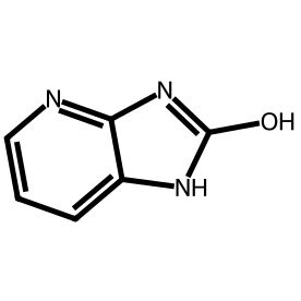 Oc1nc2ncccc2[nH]1